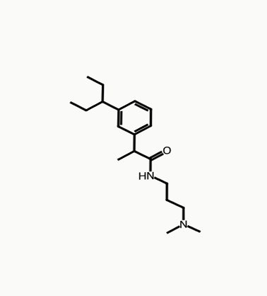 CCC(CC)c1cccc(C(C)C(=O)NCCCN(C)C)c1